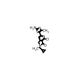 Cc1nc(N)sc1-c1cc2c(c(Cl)n1)C(=O)N([C@@H](C)C1CC1)C2